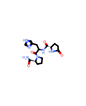 NC(=O)[C@@H]1CCCN1C(=O)C(Cc1c[nH]cn1)NC(=O)[C@@H]1CCC(=O)N1